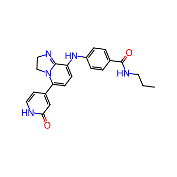 CCCNC(=O)c1ccc(NC2=CC=C(c3cc[nH]c(=O)c3)N3CCN=C23)cc1